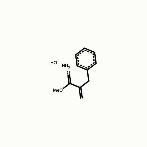 C=C(Cc1ccccc1)C(=O)OC.Cl.N